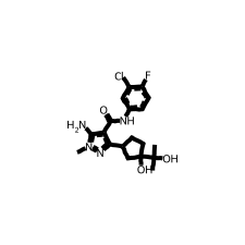 Cn1nc(C2CCC(O)(C(C)(C)O)C2)c(C(=O)Nc2ccc(F)c(Cl)c2)c1N